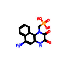 Nc1cc2[nH]c(=O)c(=O)n(CP(=O)(O)O)c2c2ccccc12